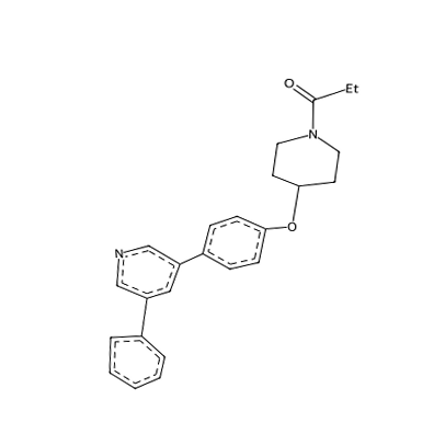 CCC(=O)N1CCC(Oc2ccc(-c3cncc(-c4ccccc4)c3)cc2)CC1